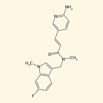 CN(Cc1cn(C)c2cc(F)ccc12)C(=O)C=Cc1ccc(N)nc1